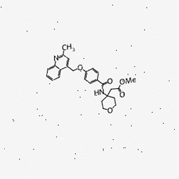 COC(=O)CC1(NC(=O)c2ccc(OCc3cc(C)nc4ccccc34)cc2)CCOCC1